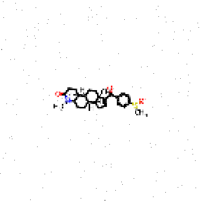 CN1C(=O)CC[C@@]2(C)C1CC[C@@H]1[C@H]2CC[C@]2(C)C(C(=O)c3ccc([S+](C)[O-])cc3)CC[C@@H]12